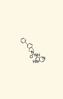 O=C(Nc1c[nH]c2ccncc12)N1Cc2ccc(-c3ccccc3)cc2C1